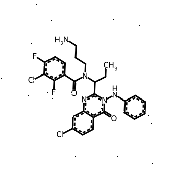 CCC(c1nc2cc(Cl)ccc2c(=O)n1Nc1ccccc1)N(CCCN)C(=O)c1ccc(F)c(Cl)c1F